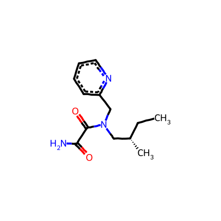 CC[C@H](C)CN(Cc1ccccn1)C(=O)C(N)=O